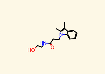 Cc1c(C)n(CCC(=O)NCCO)c2ccccc12